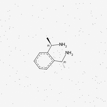 C[C@@H](N)c1ccccc1[C@@H](C)N